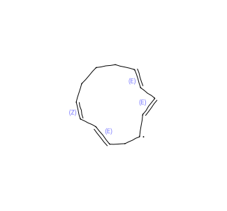 [CH]1/C=C/C=C/CCC/C=C\C=C\C1